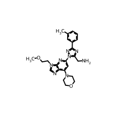 COCCn1cnc2c(N3CCOCC3)cc(-n3nc(-c4cccc(C)c4)nc3CN)nc21